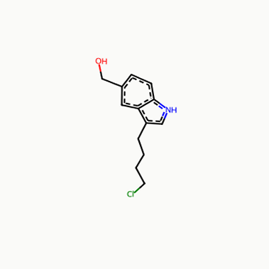 OCc1ccc2[nH]cc(CCCCCl)c2c1